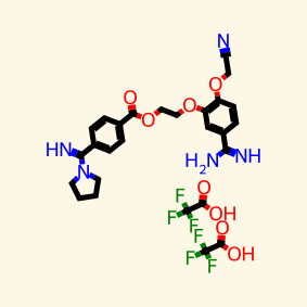 N#CCOc1ccc(C(=N)N)cc1OCCOC(=O)c1ccc(C(=N)N2CCCC2)cc1.O=C(O)C(F)(F)F.O=C(O)C(F)(F)F